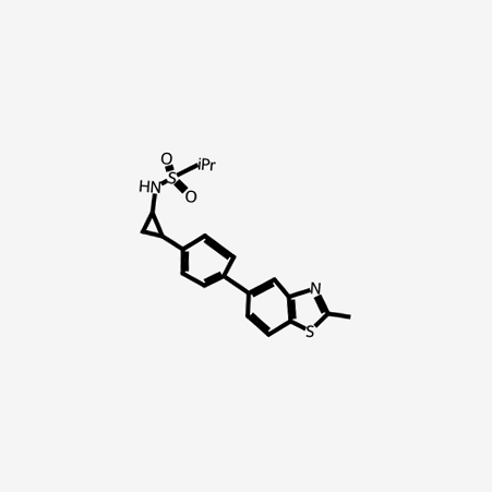 Cc1nc2cc(-c3ccc(C4CC4NS(=O)(=O)C(C)C)cc3)ccc2s1